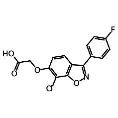 O=C(O)COc1ccc2c(-c3ccc(F)cc3)noc2c1Cl